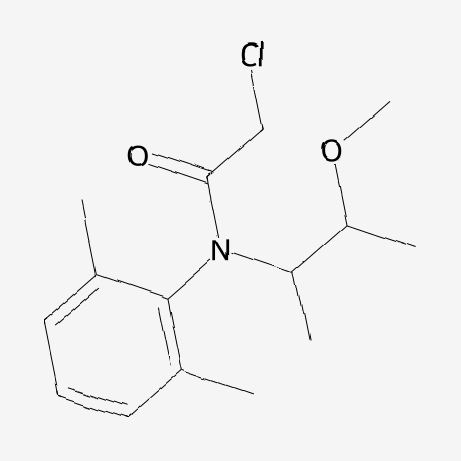 COC(C)C(C)N(C(=O)CCl)c1c(C)cccc1C